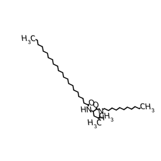 CCCCCCCCCCCCCCCCCCCCCC(=O)NC(CC(C)C)C(=O)NCCCCCCCCCCC